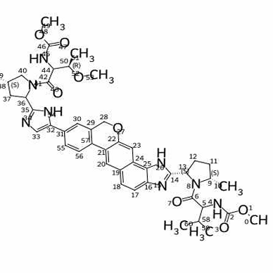 COC(=O)NC(C(=O)N1[C@@H](C)CC[C@H]1c1nc2ccc3cc4c(cc3c2[nH]1)OCc1cc(-c2cnc(C3C[C@H](C)CN3C(=O)C(NC(=O)OC)[C@@H](C)OC)[nH]2)ccc1-4)C(C)C